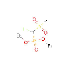 CCOP(=O)(OCC)C(F)S(C)(=O)=O